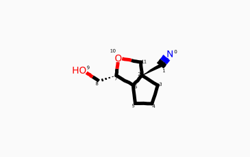 N#C[C@@]12CCCC1[C@H](CO)OC2